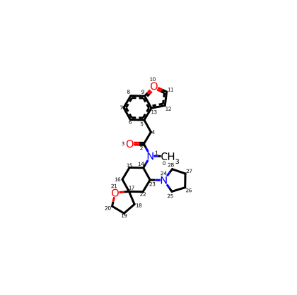 CN(C(=O)Cc1cccc2occc12)C1CCC2(CCCO2)CC1N1CCCC1